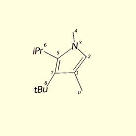 Cc1cn(C)c(C(C)C)c1C(C)(C)C